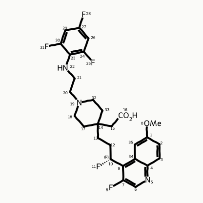 COc1ccc2ncc(F)c([C@H](F)CCC3(CC(=O)O)CCN(CCNc4c(F)cc(F)cc4F)CC3)c2c1